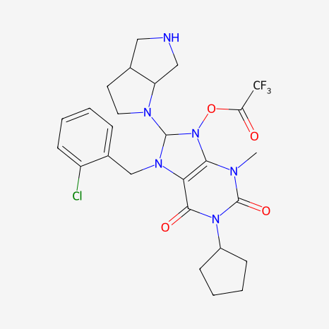 Cn1c2c(c(=O)n(C3CCCC3)c1=O)N(Cc1ccccc1Cl)C(N1CCC3CNCC31)N2OC(=O)C(F)(F)F